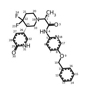 C[C@@H](C(=O)Nc1ccc(OCc2ccccc2)cn1)N1CCC(F)(F)[C@@H](c2ccc(=O)[nH]c2)C1